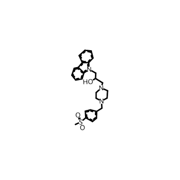 CS(=O)(=O)c1ccc(CN2CCN(CC(O)Cn3c4ccccc4c4ccccc43)CC2)cc1